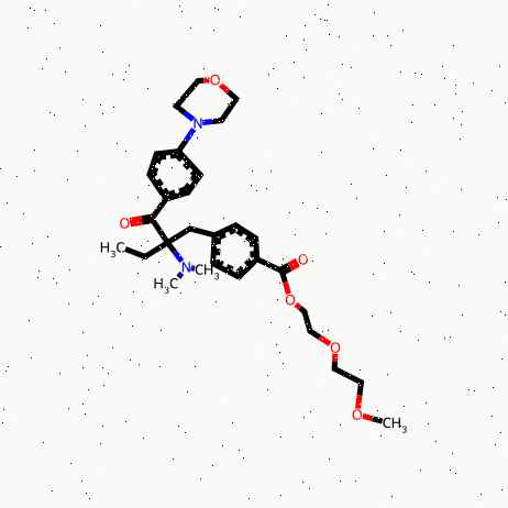 CCC(Cc1ccc(C(=O)OCCOCCOC)cc1)(C(=O)c1ccc(N2CCOCC2)cc1)N(C)C